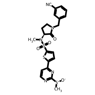 CN([C@H]1CCN(Cc2cccc(C#N)c2)C1=O)S(=O)(=O)c1ccc(-c2ccnc([S+](C)[O-])n2)s1